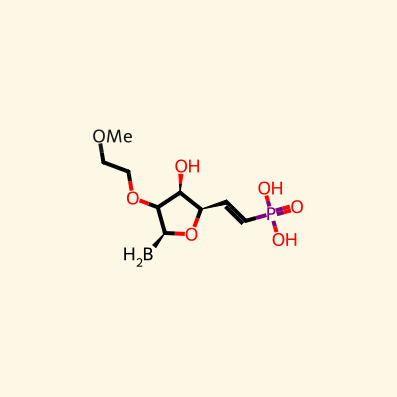 B[C@@H]1O[C@H](/C=C/P(=O)(O)O)[C@H](O)C1OCCOC